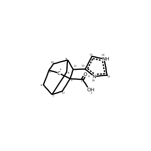 O=C(O)C12CC3CC(CC(C3)C1c1c[nH]cn1)C2